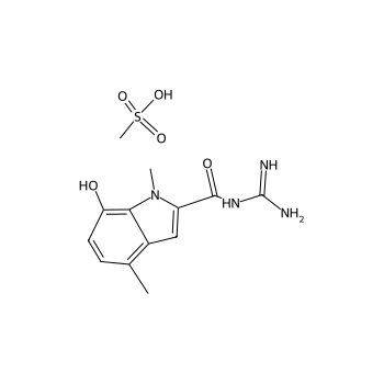 CS(=O)(=O)O.Cc1ccc(O)c2c1cc(C(=O)NC(=N)N)n2C